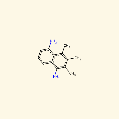 Cc1c(C)c(C)c2c(N)cccc2c1N